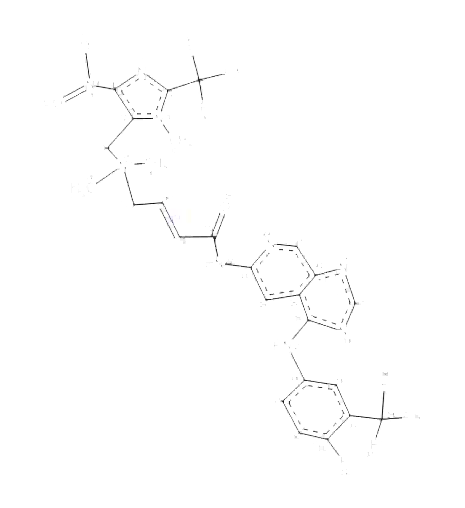 Cn1c(C(F)(F)F)nc([N+](=O)[O-])c1C[N+](C)(C)C/C=C/C(=O)Nc1cc2c(Nc3ccc(F)c(C(F)(F)F)c3)ncnc2cn1